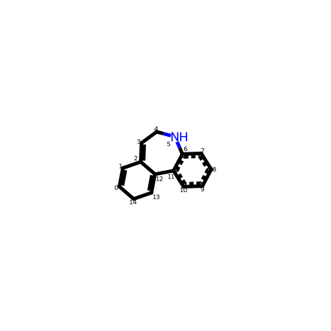 C1=CC2=CCNc3ccccc3C2=CC1